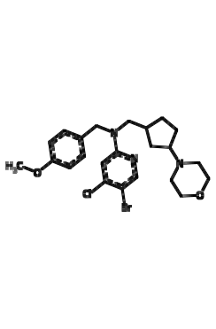 COc1ccc(CN(CC2CCC(N3CCOCC3)C2)c2cc(Cl)c(Br)cn2)cc1